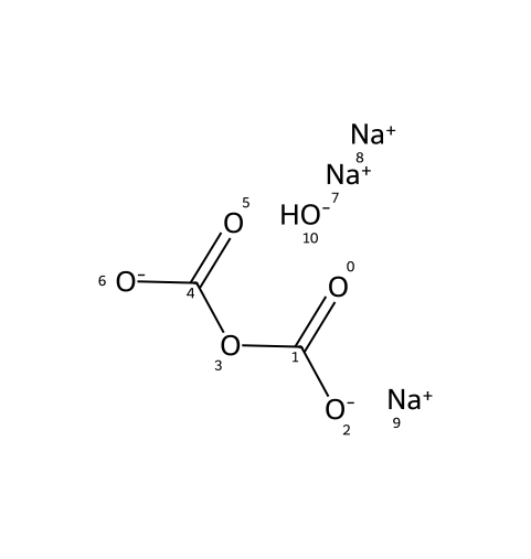 O=C([O-])OC(=O)[O-].[Na+].[Na+].[Na+].[OH-]